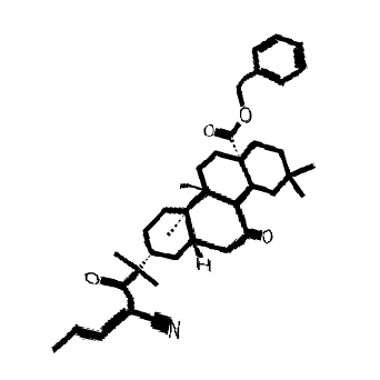 CC/C=C(/C#N)C(=O)C(C)(C)[C@@H]1CC[C@]2(C)[C@H](CC(=O)C3C4CC(C)(C)CC[C@]4(C(=O)OCc4ccccc4)CC[C@]32C)C1